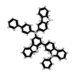 c1ccc(-c2ccc(N(c3ccc4sc5ccccc5c4c3)c3cc(-c4ccc5c6ccccc6n(-c6ccccc6)c5c4)c4oc5ccccc5c4c3)cc2)cc1